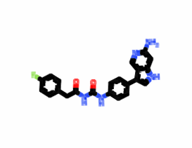 Nc1cc2[nH]cc(-c3ccc(NC(=O)NC(=O)Cc4ccc(F)cc4)cc3)c2cn1